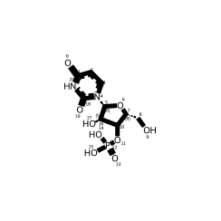 O=c1ccn([C@@H]2O[C@H](CO)C(OP(=O)(O)O)[C@@H]2O)c(=O)[nH]1